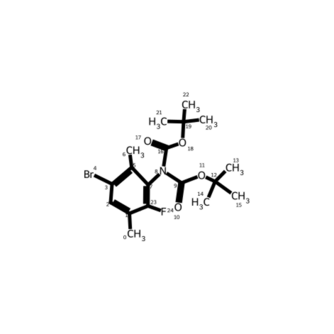 Cc1cc(Br)c(C)c(N(C(=O)OC(C)(C)C)C(=O)OC(C)(C)C)c1F